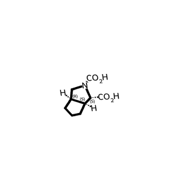 O=C(O)[C@@H]1[C@H]2CCC[C@H]2CN1C(=O)O